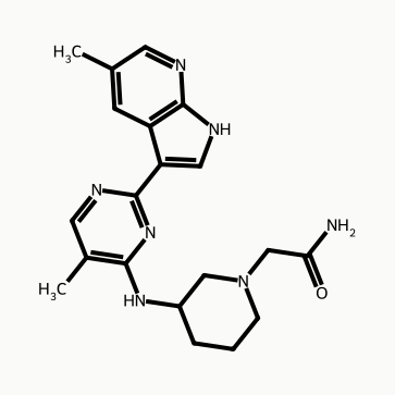 Cc1cnc2[nH]cc(-c3ncc(C)c(NC4CCCN(CC(N)=O)C4)n3)c2c1